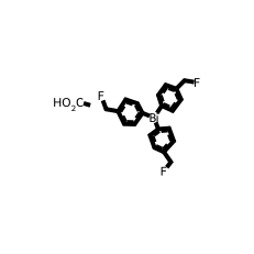 CC(=O)O.FCc1cc[c]([Bi]([c]2ccc(CF)cc2)[c]2ccc(CF)cc2)cc1